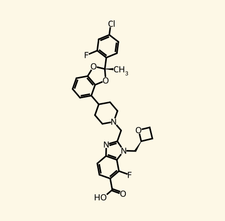 C[C@]1(c2ccc(Cl)cc2F)Oc2cccc(C3CCN(Cc4nc5ccc(C(=O)O)c(F)c5n4C[C@@H]4CCO4)CC3)c2O1